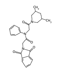 CC1CC(C)CN(C(=O)CN(C(=O)CN2C(=O)c3ccccc3C2=O)c2ccccc2)C1